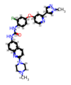 CN1CCN(c2ccc3cc(NC(=O)Nc4ccc(Oc5ccnc(-c6cnn(C)c6)c5)cc4F)ccc3n2)CC1